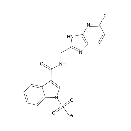 CC(C)S(=O)(=O)n1cc(C(=O)NCc2nc3ccc(Cl)nc3[nH]2)c2ccccc21